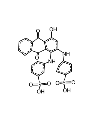 O=C1c2ccccc2C(=O)c2c(Nc3cccc(S(=O)(=O)O)c3)c(Nc3ccc(S(=O)(=O)O)cc3)cc(O)c21